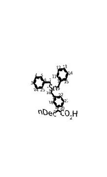 CCCCCCCCCCCC(=O)O.c1ccc([CH2][Sn]([CH2]c2ccccc2)[CH2]c2ccccc2)cc1